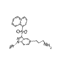 CC(C)n1nc(S(=O)(=O)c2cccc3ccccc23)c2cc(CCCN)ccc21